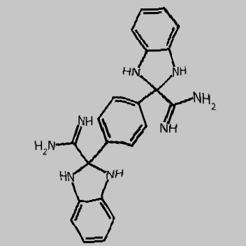 N=C(N)C1(c2ccc(C3(C(=N)N)Nc4ccccc4N3)cc2)Nc2ccccc2N1